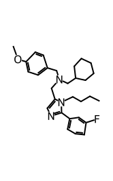 CCCCn1c(CN(Cc2ccc(OC)cc2)CC2CCCCC2)cnc1-c1cccc(F)c1